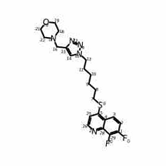 Fc1ccc2c(SCCCCCCn3cc(CN4CCOCC4)nn3)ccnc2c1F